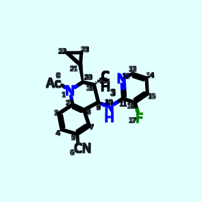 CC(=O)N1c2ccc(C#N)cc2[C@H](Nc2ncccc2F)[C@@H](C)[C@@H]1C1CC1